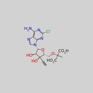 C#C[C@@]1(O)[C@@H](COC(C)(C(=O)O)C(=O)O)O[C@@H](n2cnc3c(N)nc(Cl)nc32)[C@@H]1O